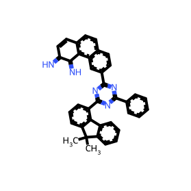 CC1(C)c2ccccc2-c2c(-c3nc(-c4ccccc4)nc(-c4ccc5ccc6c(c5c4)C(=N)C(=N)C=C6)n3)cccc21